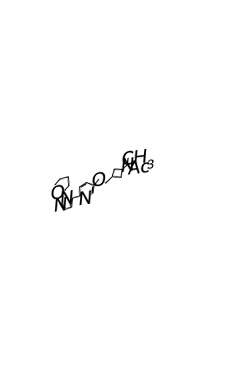 CC(=O)N(C)C1CC(COc2ccc(-c3ccnn3C3CCCCO3)nc2)C1